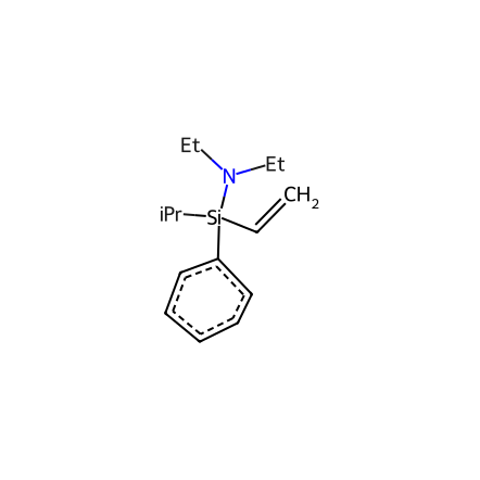 C=C[Si](c1ccccc1)(C(C)C)N(CC)CC